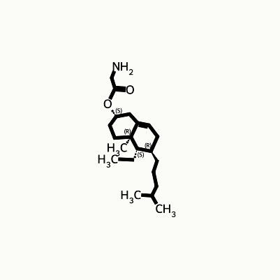 CC[C@H]1[C@H](CCCC(C)C)CC=C2C[C@@H](OC(=O)CN)CC[C@@]21C